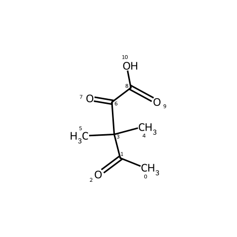 CC(=O)C(C)(C)C(=O)C(=O)O